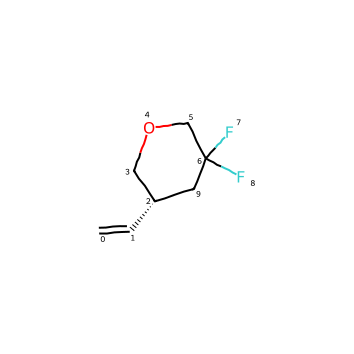 C=C[C@@H]1COCC(F)(F)C1